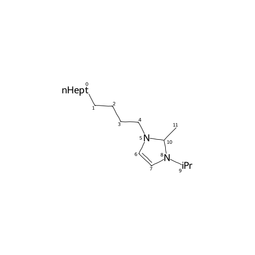 CCCCCCCCCCCN1C=CN(C(C)C)C1C